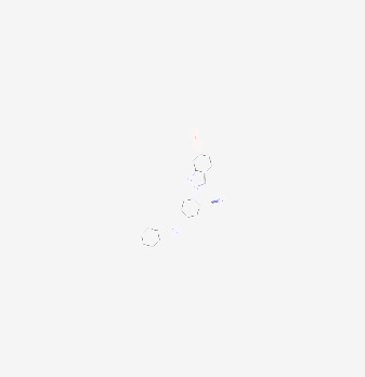 CP(C)(=O)c1ccc2cn(-c3ccc(CN4Cc5ccccc5C4)cc3C#N)nc2c1